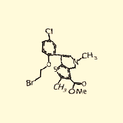 COC(=O)c1c(C)sc2c1CN(C)C=C2c1cc(Cl)ccc1OCCBr